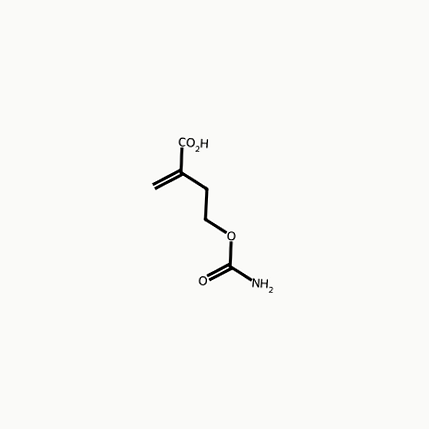 C=C(CCOC(N)=O)C(=O)O